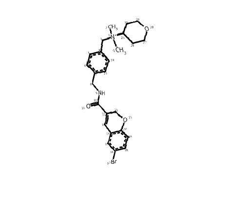 C[N+](C)(Cc1ccc(CNC(=O)C2=Cc3cc(Br)ccc3OC2)cc1)C1CCOCC1